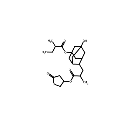 CCC(C)C(=O)OC12CC3CC(O)(CC(C1)C3CC(C)C(=O)OC1COC(=O)C1)C2